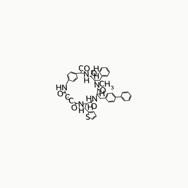 CN1C(=O)[C@H](Cc2ccc(-c3ccccc3)cc2)NC(=O)[C@@H](Cc2cccs2)NC(=O)CCC(=O)Nc2ccc(cc2)C(C(=O)O)NC(=O)[C@H]1Cc1ccccc1